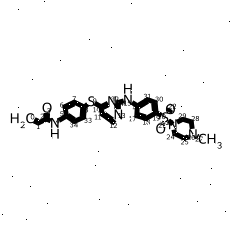 C=CC(=O)Nc1ccc(Sc2ccnc(Nc3ccc(S(=O)(=O)N4CCN(C)CC4)cc3)n2)cc1